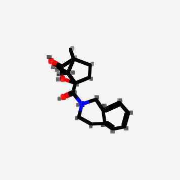 CC12CCC(C(=O)N3CCc4ccccc4C3)(OC1=O)C2(C)C